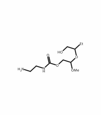 CCC(CO)OC(COC(=O)NCCN)OC